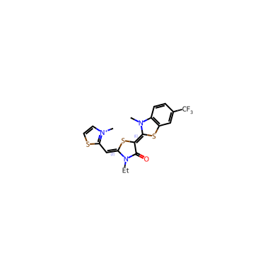 CCn1c(=O)/c(=C2\Sc3cc(C(F)(F)F)ccc3N2C)s/c1=C\c1scc[n+]1C